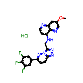 COc1cnc2c(NCc3nnc4ccc(-c5cc(F)c(F)c(F)c5)nn34)ccnc2c1.Cl